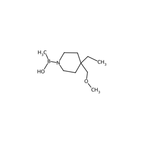 CCC1(COC)CCN(B(C)O)CC1